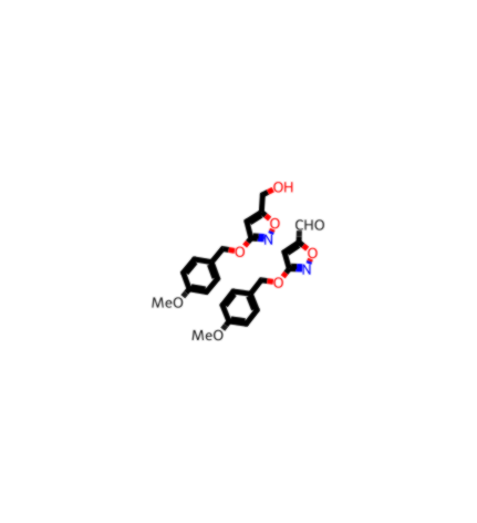 COc1ccc(COc2cc(C=O)on2)cc1.COc1ccc(COc2cc(CO)on2)cc1